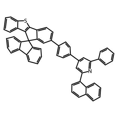 c1ccc(-c2cc(-c3ccc(-c4ccc5c(c4)C4(c6ccccc6-c6ccccc64)c4c-5sc5ccccc45)cc3)cc(-c3cccc4ccccc34)n2)cc1